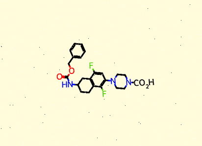 O=C(NC1CCc2c(F)c(N3CCN(C(=O)O)CC3)cc(F)c2C1)OCc1ccccc1